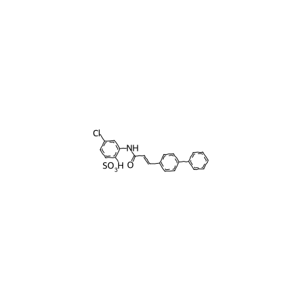 O=C(/C=C/c1ccc(-c2ccccc2)cc1)Nc1cc(Cl)ccc1S(=O)(=O)O